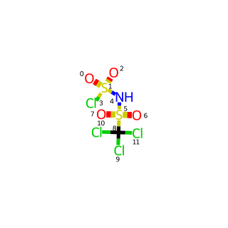 O=S(=O)(Cl)NS(=O)(=O)C(Cl)(Cl)Cl